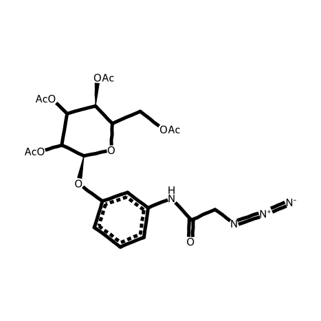 CC(=O)OCC1O[C@@H](Oc2cccc(NC(=O)CN=[N+]=[N-])c2)C(OC(C)=O)C(OC(C)=O)[C@H]1OC(C)=O